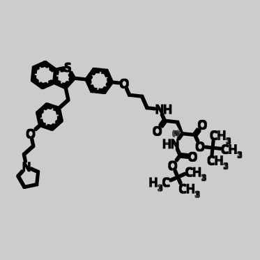 CC(C)(C)OC(=O)N[C@@H](CC(=O)NCCCOc1ccc(-c2sc3ccccc3c2Cc2ccc(OCCN3CCCC3)cc2)cc1)C(=O)OC(C)(C)C